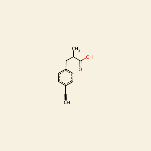 C#Cc1ccc(CC(C)C(=O)O)cc1